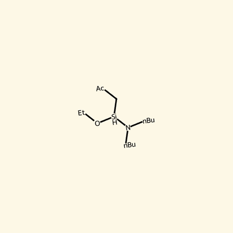 CCCCN(CCCC)[SiH](CC(C)=O)OCC